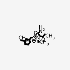 CCC(=O)C(C(N)=O)N(CC)S(=O)(=O)Cc1cccc(CC)c1